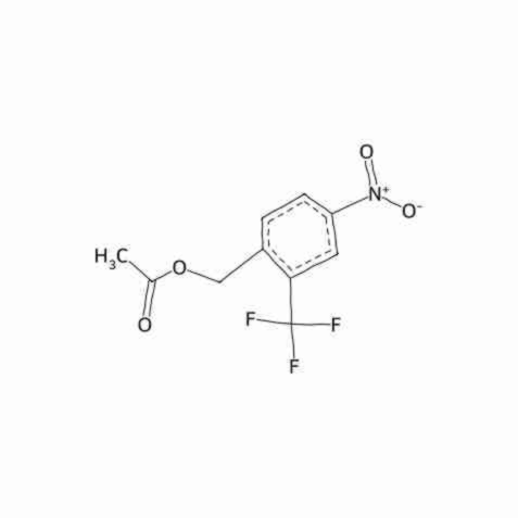 CC(=O)OCc1ccc([N+](=O)[O-])cc1C(F)(F)F